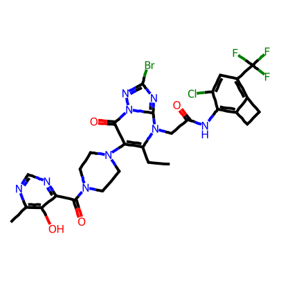 CCc1c(N2CCN(C(=O)c3ncnc(C)c3O)CC2)c(=O)n2nc(Br)nc2n1CC(=O)Nc1c(Cl)cc(C(F)(F)F)c2c1CC2